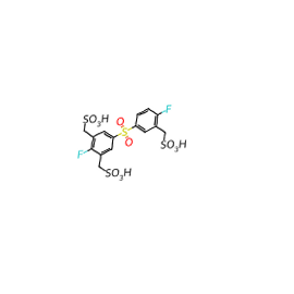 O=S(=O)(O)Cc1cc(S(=O)(=O)c2cc(CS(=O)(=O)O)c(F)c(CS(=O)(=O)O)c2)ccc1F